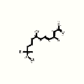 CCOC(C)(CC)CCCC(CC)CC=CC(C)=CC(=O)CC